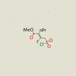 CCC/C(C(=O)OC)=C(/F)CS(=O)(=O)Cl